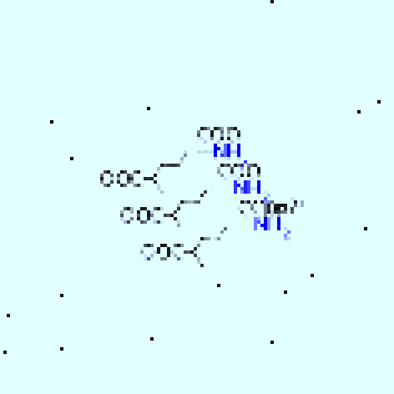 CC(CCCC(C)(N)C(=O)[O-])C(=O)[O-].CC(CCCC(C)(N)C(=O)[O-])C(=O)[O-].CC(CCCC(C)(N)C(=O)[O-])C(=O)[O-].[In+3].[In+3]